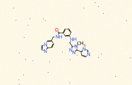 Cn1c(CNc2cccc(C(=O)NCc3ccc4nccn4c3)c2)nnc1-c1ccncn1